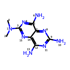 CN(C)c1nc(N)c2nc(N)nc(N)c2n1